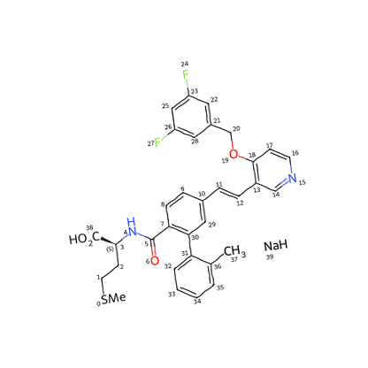 CSCC[C@H](NC(=O)c1ccc(C=Cc2cnccc2OCc2cc(F)cc(F)c2)cc1-c1ccccc1C)C(=O)O.[NaH]